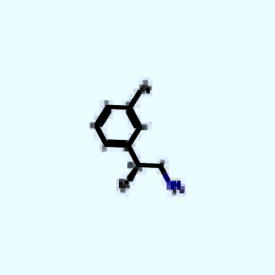 CC[C@H](CN)c1cccc(C(C)C)c1